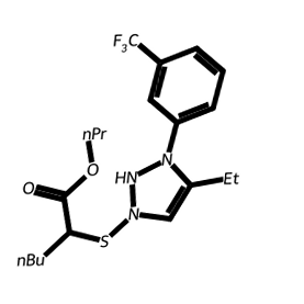 CCCCC(SN1C=C(CC)N(c2cccc(C(F)(F)F)c2)N1)C(=O)OCCC